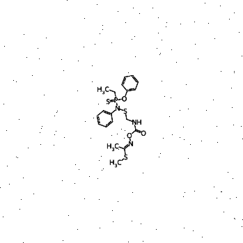 CCP(=S)(Oc1ccccc1)N(SCNC(=O)O/N=C(\C)SC)c1ccccc1